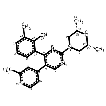 Cc1cc(-c2cnc(N3C[C@@H](C)O[C@@H](C)C3)nc2-c2cccc(C)c2C#N)ccn1